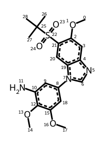 COc1cc2ncn(-c3cc(N)c(OC)c(OC)c3)c2cc1S(=O)(=O)C(C)(C)C